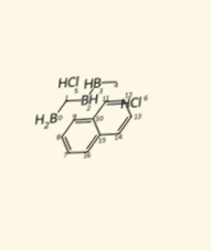 BCBBC.Cl.Cl.c1ccc2ccccc2c1